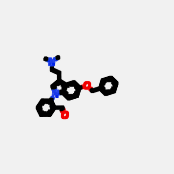 CN(C)CCc1cn(-c2ccccc2C=O)c2ccc(OCc3ccccc3)cc12